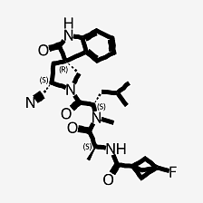 CC(C)C[C@@H](C(=O)N1C[C@]2(C[C@H]1C#N)C(=O)Nc1ccccc12)N(C)C(=O)[C@H](C)NC(=O)C12CC(F)(C1)C2